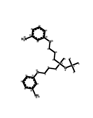 C[Si](C)(C)O[Si](C)(CCCOc1cccc(N)c1)CCCOc1cccc(N)c1